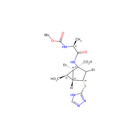 CCC1[C@H](Sc2nnc[nH]2)[C@@H]2[C@@H](C(=O)O)[C@@]2(CC)[C@]1(NC(=O)[C@H](C)NC(=O)OC(C)(C)C)C(=O)O